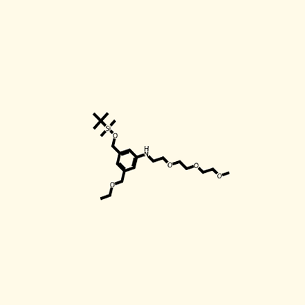 CCOCc1cc(CO[Si](C)(C)C(C)(C)C)cc(NCCOCCOCCOC)c1